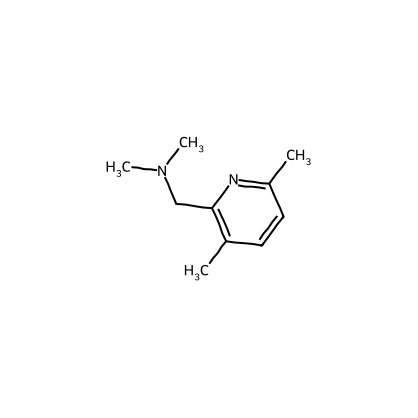 Cc1ccc(C)c(CN(C)C)n1